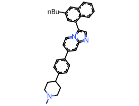 CCCCc1cc(-c2cnc3cc(-c4ccc(C5CCN(C)CC5)cc4)ccn23)c2ccccc2c1